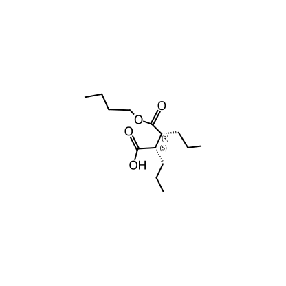 CCCCOC(=O)[C@H](CCC)[C@H](CCC)C(=O)O